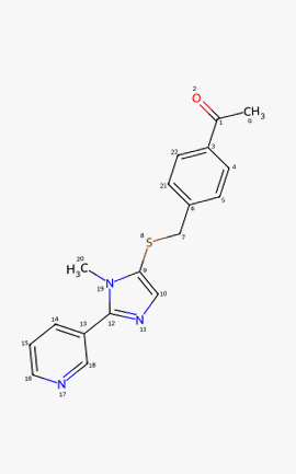 CC(=O)c1ccc(CSc2cnc(-c3cccnc3)n2C)cc1